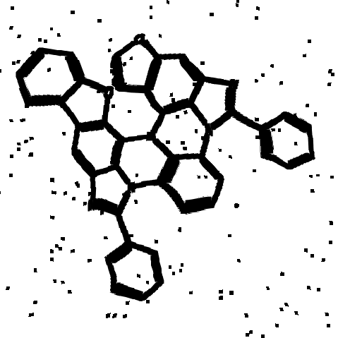 c1ccc(-c2nc3cc4c(oc5ccccc54)c4c3n2-c2cccc3c2B4c2c4c(cc5nc(-c6ccccc6)n-3c25)oc2ccccc24)cc1